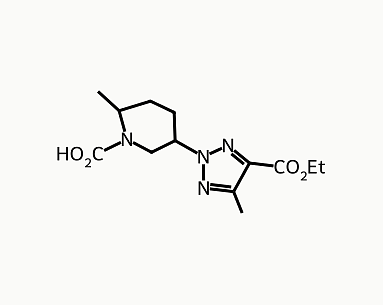 CCOC(=O)c1nn(C2CCC(C)N(C(=O)O)C2)nc1C